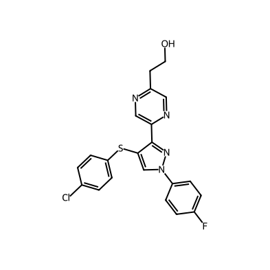 OCCc1cnc(-c2nn(-c3ccc(F)cc3)cc2Sc2ccc(Cl)cc2)cn1